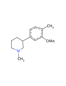 COc1cc(C2CCCN(C)C2)ccc1C